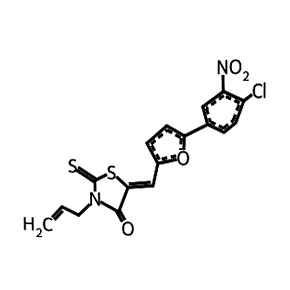 C=CCN1C(=O)C(=Cc2ccc(-c3ccc(Cl)c([N+](=O)[O-])c3)o2)SC1=S